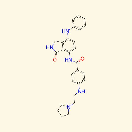 O=C(Nc1ccc(Nc2ccccc2)c2c1C(=O)NC2)c1ccc(NCCN2CCCC2)cc1